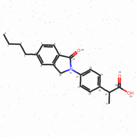 CCCCc1ccc2c(c1)CN(c1ccc(C(C)C(=O)O)cc1)C2=O